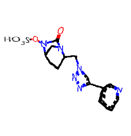 O=C1N2CC(CCC2Cn2cc(-c3cccnc3)nn2)N1OS(=O)(=O)O